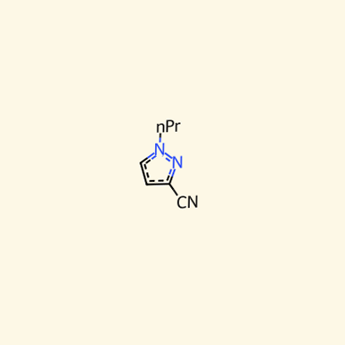 CCCn1ccc(C#N)n1